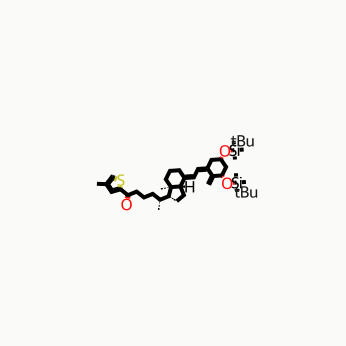 C=C1/C(=C\C=C2/CCC[C@]3(C)[C@@H]([C@H](C)CCCC(=O)c4cc(C)cs4)CC[C@@H]23)CC(O[Si](C)(C)C(C)(C)C)CC1O[Si](C)(C)C(C)(C)C